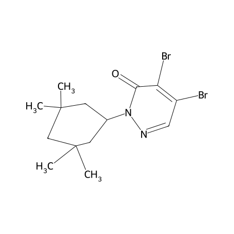 CC1(C)CC(n2ncc(Br)c(Br)c2=O)CC(C)(C)C1